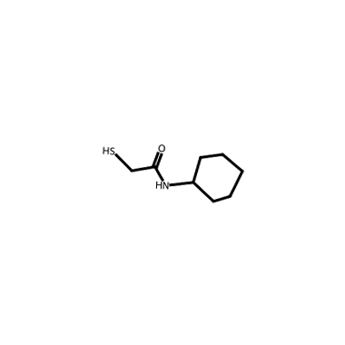 O=C(CS)NC1CCCCC1